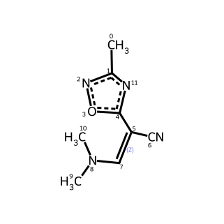 Cc1noc(/C(C#N)=C\N(C)C)n1